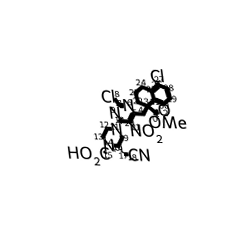 COC(=O)C1(Cc2nc(Cl)nc(N3CCN(C(=O)O)[C@@H](CC#N)C3)c2[N+](=O)[O-])CCCc2c(Cl)cccc21